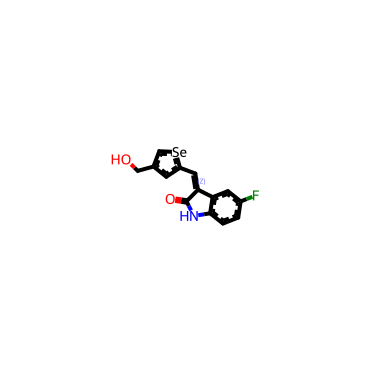 O=C1Nc2ccc(F)cc2/C1=C/c1cc(CO)c[se]1